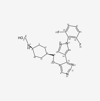 O=C(O)N[C@H]1CC[C@@H](COc2cncnc2-c2cnn(-c3c(F)cccc3F)c2)CC1